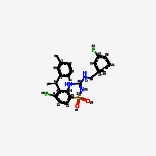 Cc1cccc([C@H](C)c2c(F)ccc3c2NC(NCc2cccc(F)c2)=NS3(=O)=O)c1